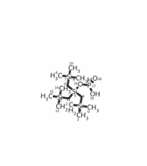 C[Si](C)(C)C[Si](C[Si](C)(C)C)(C[Si](C)(C)C)O[PH](=O)O